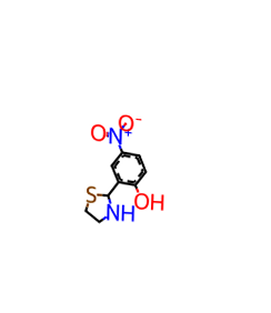 O=[N+]([O-])c1ccc(O)c(C2NCCS2)c1